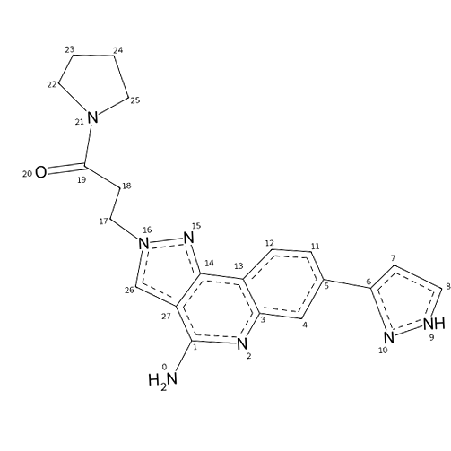 Nc1nc2cc(-c3cc[nH]n3)ccc2c2nn(CCC(=O)N3CCCC3)cc12